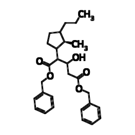 CCCC1CCC(C(C(=O)OCc2ccccc2)C(O)CC(=O)OCc2ccccc2)[C@@H]1C